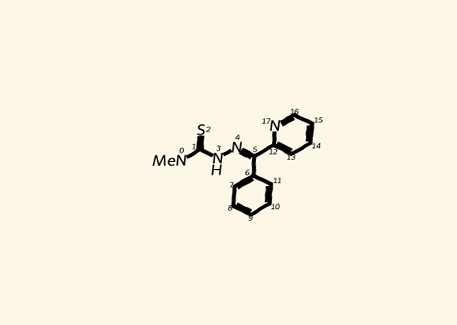 CNC(=S)N/N=C(\c1ccccc1)c1ccccn1